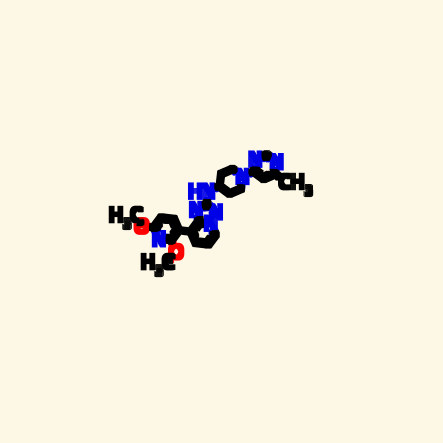 COc1ccc(-c2cccn3nc(NC4CCN(c5cc(C)ncn5)CC4)nc23)c(OC)n1